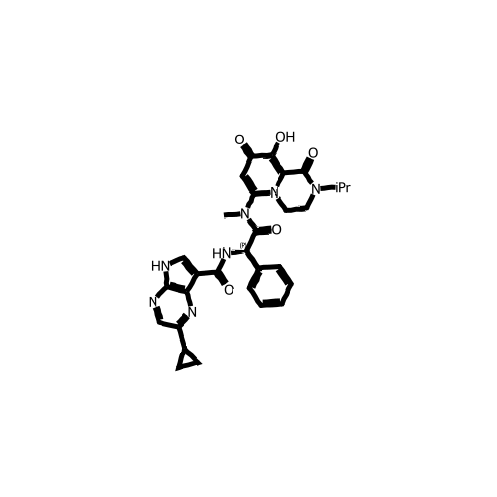 CC(C)N1CCn2c(N(C)C(=O)[C@H](NC(=O)c3c[nH]c4ncc(C5CC5)nc34)c3ccccc3)cc(=O)c(O)c2C1=O